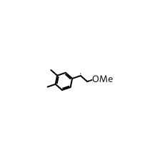 COC[CH]c1ccc(C)c(C)c1